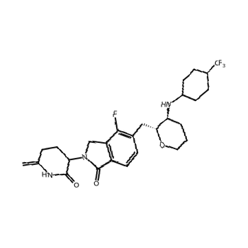 C=C1CCC(N2Cc3c(ccc(C[C@H]4OCCC[C@@H]4NC4CCC(C(F)(F)F)CC4)c3F)C2=O)C(=O)N1